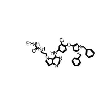 CCNC(=O)NCCn1ccc2ncnc(Nc3ccc(OC4=CN(Cc5ccccc5)S(Cc5ccccc5)=C4)c(Cl)c3)c21